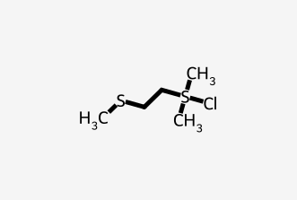 CSCCS(C)(C)Cl